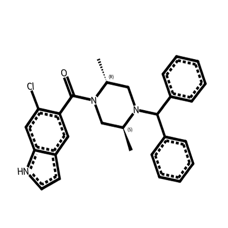 C[C@@H]1CN(C(c2ccccc2)c2ccccc2)[C@@H](C)CN1C(=O)c1cc2cc[nH]c2cc1Cl